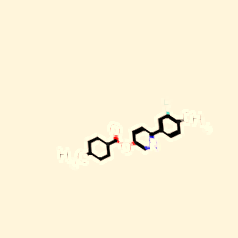 Cc1ccc(-c2ccc(OC(=O)C3CCC(C)CC3)cn2)cc1F